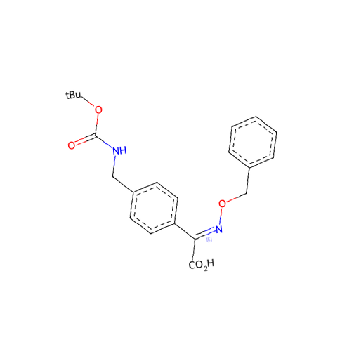 CC(C)(C)OC(=O)NCc1ccc(/C(=N\OCc2ccccc2)C(=O)O)cc1